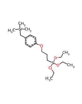 CCO[Si](CCCOc1ccc(C[Si](C)(C)C)cc1)(OCC)OCC